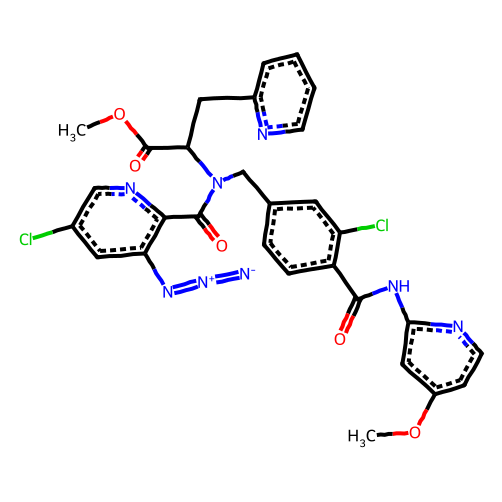 COC(=O)C(Cc1ccccn1)N(Cc1ccc(C(=O)Nc2cc(OC)ccn2)c(Cl)c1)C(=O)c1ncc(Cl)cc1N=[N+]=[N-]